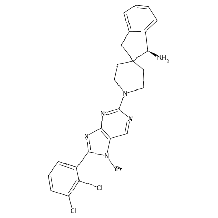 CC(C)n1c(-c2cccc(Cl)c2Cl)nc2nc(N3CCC4(CC3)Cc3ccccc3[C@H]4N)ncc21